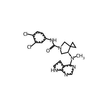 CN(c1ncnc2[nH]ccc12)[C@H]1CN(C(=O)Nc2ccc(Cl)c(Cl)c2)CC12CC2